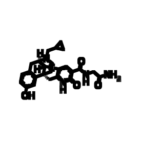 NC(=O)CNC(=O)c1cc2c([nH]c1=O)C[C@]13CCN(CC4CC4)[C@H](Cc4ccc(O)cc41)[C@@H]3C2